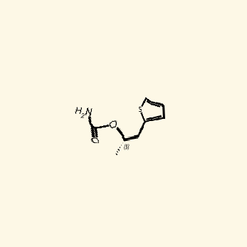 C[C@@H](Cc1cccs1)OC(N)=O